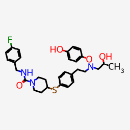 C[C@H](O)CN(CCc1ccc(SC2CCN(C(=O)NCc3ccc(F)cc3)CC2)cc1)Oc1ccc(O)cc1